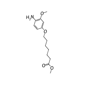 COC(=O)CCCCCCOc1ccc(N)c(OC)c1